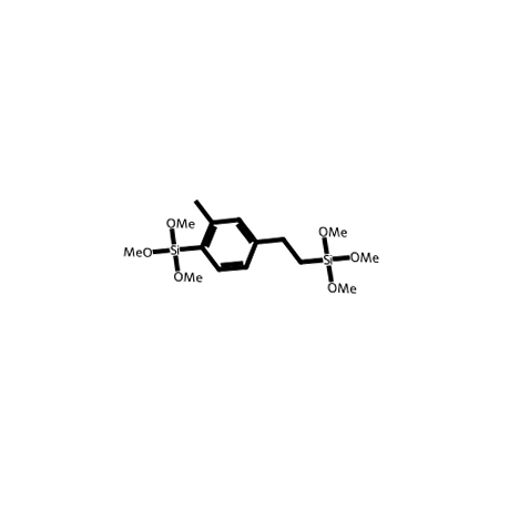 CO[Si](CCc1ccc([Si](OC)(OC)OC)c(C)c1)(OC)OC